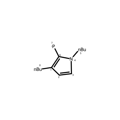 CCCCc1ccn(CCCC)c1[P]